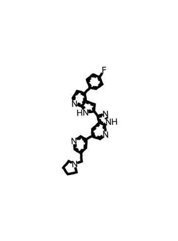 Fc1ccc(-c2ccnc3[nH]c(-c4n[nH]c5ncc(-c6cncc(CN7CCCC7)c6)cc45)cc23)cc1